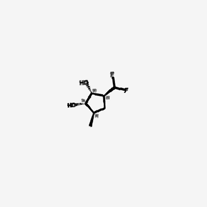 C[C@@H]1C[C@H](C(F)F)[C@@H](O)[C@H]1O